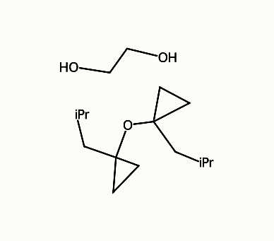 CC(C)CC1(OC2(CC(C)C)CC2)CC1.OCCO